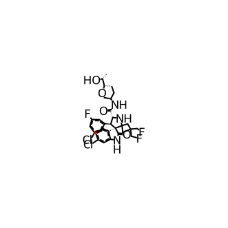 C[C@@H](O)[C@@H]1CCC(NC(=O)[C@@H]2NC3(CC(CF)(CF)C3)[C@@]3(C(=O)Nc4cc(Cl)ccc43)[C@H]2c2cc(F)cc(Cl)c2)CO1